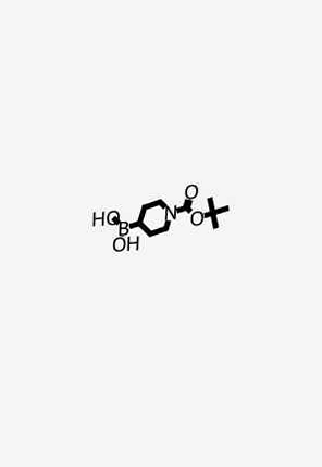 CC(C)(C)OC(=O)N1CCC(B(O)O)CC1